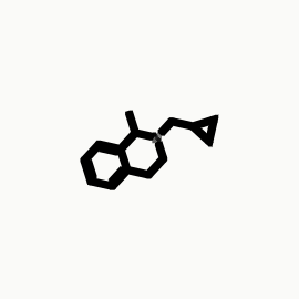 CC1c2ccccc2CCN1CC1CC1